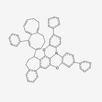 C1=C\CC/C=C2/CC/C=C(C3CCc4ccccc4-c4cc5c6c(c43)Oc3cc(-c4ccccc4)ccc3N6c3ccc(-c4ccccc4)cc3O5)\C=C(c3ccccc3)/C2=C/1